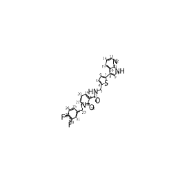 O=C(NCc1ccc(-c2c[nH]c3ncccc23)s1)c1cccn(Cc2ccc(F)c(F)c2)c1=O